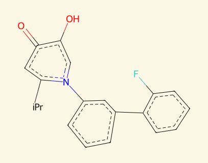 CC(C)c1cc(=O)c(O)cn1-c1cccc(-c2ccccc2F)c1